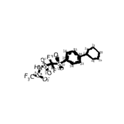 O=S(=O)(N[S+]([O-])C(F)(F)F)C(F)(F)S(=O)(=O)c1ccc(C2CCCCC2)cc1